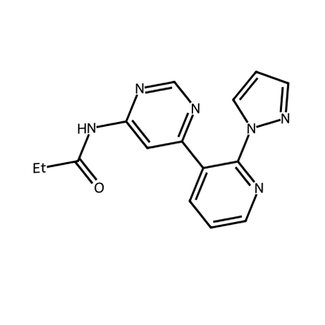 CCC(=O)Nc1cc(-c2cccnc2-n2cccn2)ncn1